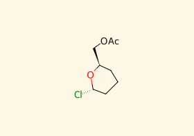 CC(=O)OC[C@H]1CCC[C@H](Cl)O1